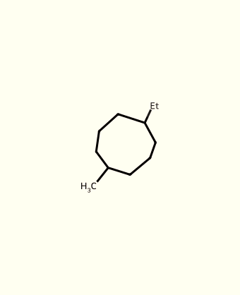 [CH2]CC1CCCC(C)CCC1